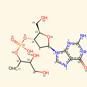 Nc1nc2c(ncn2[C@H]2C[C@H](OP(=O)(O)OC(C=O)C(O)CO)[C@@H](CO)O2)c(=O)[nH]1